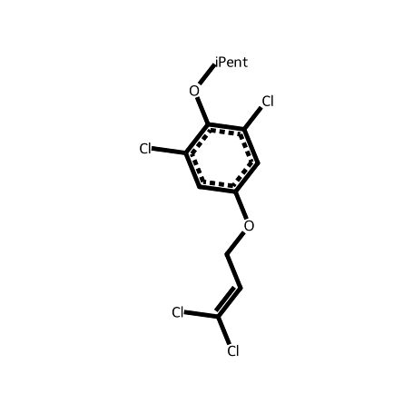 [CH2]CCC(C)Oc1c(Cl)cc(OCC=C(Cl)Cl)cc1Cl